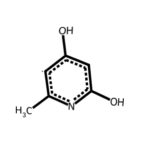 Cc1[c]c(O)cc(O)n1